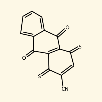 N#Cc1cc(=S)c2c(=O)c3ccccc3c(=O)c=2c1=S